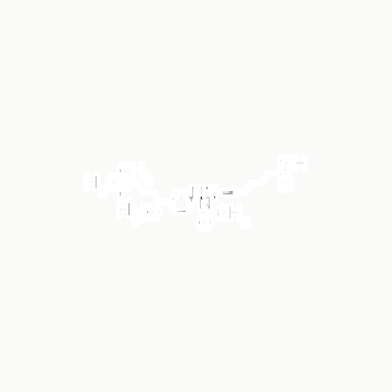 CC(=O)N(NC#CCCCCC(=O)O)c1ccc(C(O)CCCC(C)(C)C)cc1